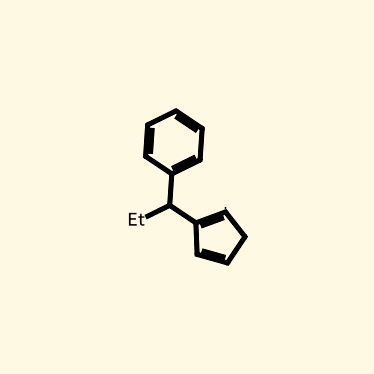 CCC(C1=[C]CC=C1)c1ccccc1